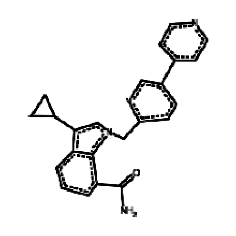 NC(=O)c1cccc2c(C3[CH]C3)cn(Cc3ccc(-c4ccncc4)cn3)c12